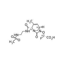 CC1=C[C@H]2CN(C(=O)N2O[C@@H](F)C(=O)O)[C@@H]1C(=O)NCCNS(C)(=O)=O